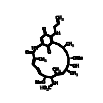 C=CCNC1=C2C[C@H](C)C[C@H](OC)[C@H](O)[C@@H](C)/C=C(\C)[C@@H](NC(=O)O)[C@@H](OC)/C=C/C=C(\C)C(=O)NC(=CC1=O)C2=O